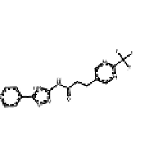 O=C(CCc1cnc(C(F)(F)F)nc1)Nc1nnc(-c2ccncc2)[nH]1